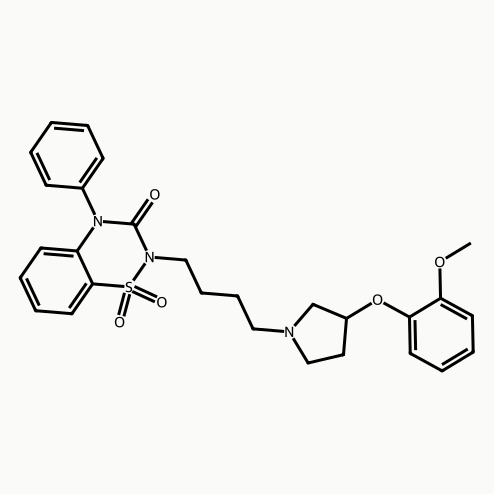 COc1ccccc1OC1CCN(CCCCN2C(=O)N(c3ccccc3)c3ccccc3S2(=O)=O)C1